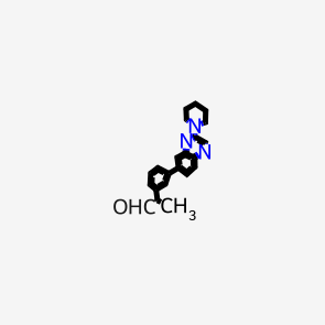 CC(C=O)c1cccc(-c2ccc3ncc(N4CCCCC4)nc3c2)c1